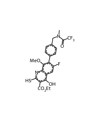 CCOC(=O)c1c(S)nc2c(OC)c(-c3ccc(CN(C)C(=O)C(F)(F)F)cc3)c(F)cc2c1O